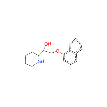 OC(COc1cccc2ccccc12)C1CCCCN1